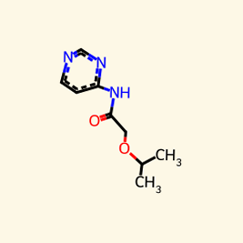 CC(C)OCC(=O)Nc1ccncn1